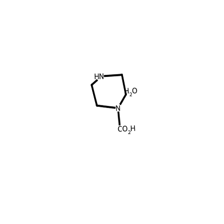 O.O=C(O)N1CCNCC1